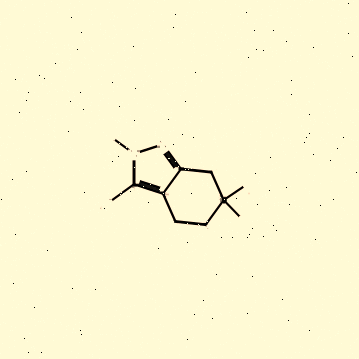 Cn1nc2c(c1I)CCC(C)(C)C2